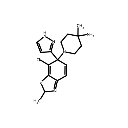 CC1N=C2C=CC(c3cc[nH]n3)(N3CCC(C)(N)CC3)C(Cl)=C2S1